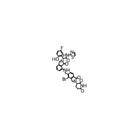 O=C1CCC(N2Cc3c(ccc(CNc4cccc5c4C(=O)N(C(C(=O)Nc4nccs4)c4cc(F)ccc4O)C5)c3Br)C2=O)C(=O)N1